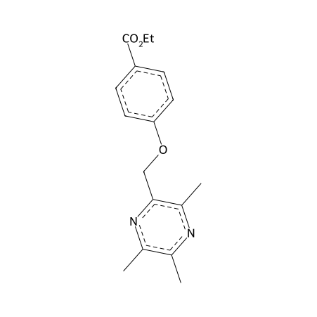 CCOC(=O)c1ccc(OCc2nc(C)c(C)nc2C)cc1